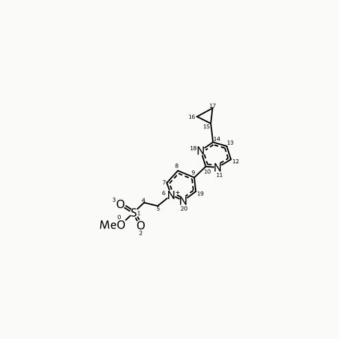 COS(=O)(=O)CC[n+]1ccc(-c2nccc(C3CC3)n2)cn1